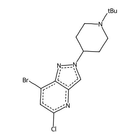 CC(C)(C)N1CCC(n2cc3nc(Cl)cc(Br)c3n2)CC1